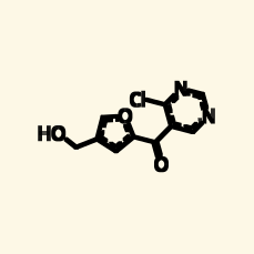 O=C(c1cc(CO)co1)c1cncnc1Cl